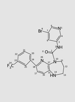 O=C(Nc1cncc(Br)c1)N1CCCNc2ccc(-c3cccc(C(F)(F)F)c3)nc21